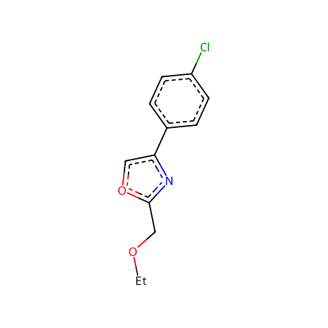 CCOCc1nc(-c2ccc(Cl)cc2)co1